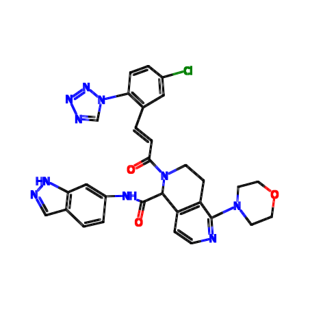 O=C(Nc1ccc2cn[nH]c2c1)C1c2ccnc(N3CCOCC3)c2CCN1C(=O)C=Cc1cc(Cl)ccc1-n1cnnn1